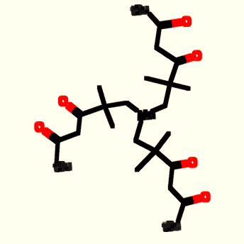 CC(C)(C)C(=O)CC(=O)C(C)(C)[CH2][Mn]([CH2]C(C)(C)C(=O)CC(=O)C(C)(C)C)[CH2]C(C)(C)C(=O)CC(=O)C(C)(C)C